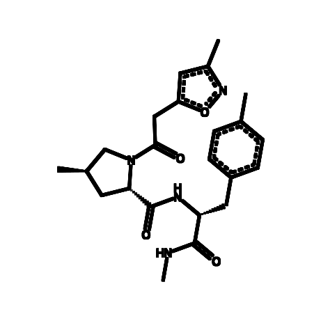 CNC(=O)[C@@H](Cc1ccc(C)cc1)NC(=O)[C@@H]1C[C@@H](C)CN1C(=O)Cc1cc(C)no1